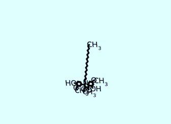 CCCCCCCCCCCCCCCCC=Cn1c(-c2ccc(O)c(OC)c2)c(OC)c(=O)c2c(O)cc(OC)cc21